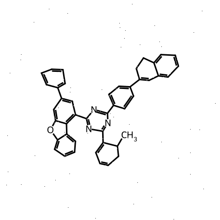 CC1CC=CC=C1c1nc(-c2ccc(C3=Cc4ccccc4CC3)cc2)nc(-c2cc(-c3ccccc3)cc3oc4ccccc4c23)n1